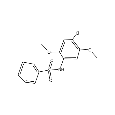 COc1cc(NS(=O)(=O)c2ccccc2)c(OC)cc1Cl